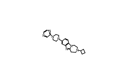 c1cnc(N2CCN(c3ccc4c(c3)nc3n4CCN(C4CCC4)CC3)CC2)cn1